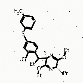 CCOC1=N[C@](C)(C(CC)c2ccc(Sc3cccc(C(F)(F)F)c3)cc2Cl)C(OCC)=N[C@H]1C(C)C